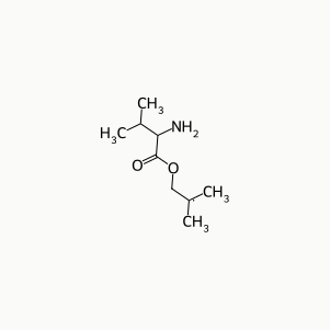 C[C](C)COC(=O)C(N)C(C)C